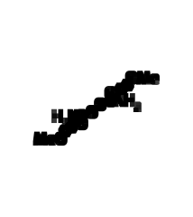 COc1ccc2cc([C@H](N)C(=O)OCCOCCOCCOC(=O)[C@@H](N)c3ccc4cc(OC)ccc4c3)ccc2c1